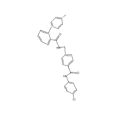 Cc1ccc(-c2ccccc2C(=O)NCc2ccc(C(=O)Nc3ccc(Cl)cc3)cc2)cc1